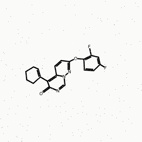 O=c1ncn2nc(Oc3ccc(F)cc3F)ccc2c1C1=CCCCC1